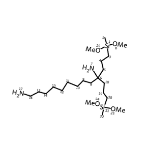 CO[Si](C)(CCCC(N)(CCCCCCCCCN)CCC[Si](C)(OC)OC)OC